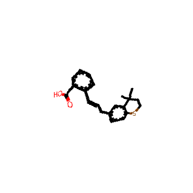 CC1(C)CCSc2ccc(CC=Cc3ccccc3C(=O)O)cc21